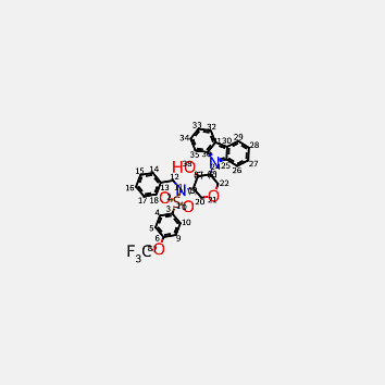 O=S(=O)(c1ccc(OC(F)(F)F)cc1)N(Cc1ccccc1)[C@H]1COC[C@@H](n2c3ccccc3c3ccccc32)[C@@H]1O